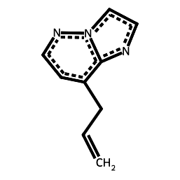 C=CCc1ccnn2ccnc12